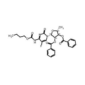 CCCCOC(=O)Nc1nc(=O)n([C@@H]2O[C@H](C)[C@@H](OC(=O)c3ccccc3)[C@H]2OC(=O)c2ccccc2)cc1F